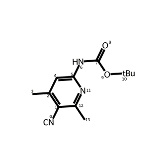 [C-]#[N+]c1c(C)cc(NC(=O)OC(C)(C)C)nc1C